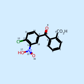 O=C(O)c1ccccc1C(=O)c1ccc(Cl)c([N+](=O)O)c1